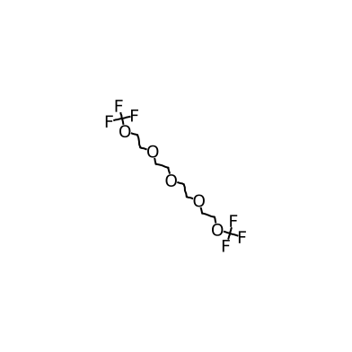 FC(F)(F)OCCOCCOCCOCCOC(F)(F)F